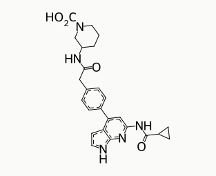 O=C(Cc1ccc(-c2cc(NC(=O)C3CC3)nc3[nH]ccc23)cc1)NC1CCCN(C(=O)O)C1